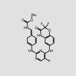 CC(C)(C)OC(=O)NC=C1C=CC(Nc2ncc(F)c(Nc3ccc4c(c3)NC(=O)C(F)(F)O4)n2)=CC1